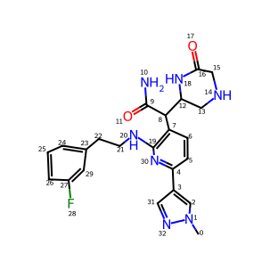 Cn1cc(-c2ccc(C(C(N)=O)C3CNCC(=O)N3)c(NCCc3cccc(F)c3)n2)cn1